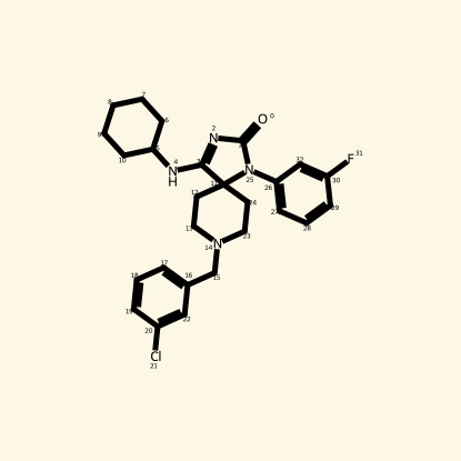 O=C1N=C(NC2CCCCC2)C2(CCN(Cc3cccc(Cl)c3)CC2)N1c1cccc(F)c1